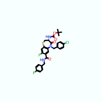 CC(C)(C)OC(=O)N[C@H]1CSc2cc(F)c(C(=O)NCc3ccc(F)cc3)cc2N(Cc2ccc(Cl)cc2)C1=O